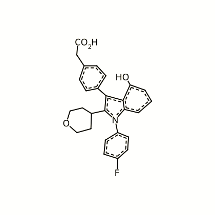 O=C(O)Cc1ccc(-c2c(C3CCOCC3)n(-c3ccc(F)cc3)c3cccc(O)c23)cc1